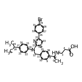 C=C(NCCC(=O)O)c1ccc(CN(c2ccc(C(C)C)cc2)c2nc(-c3ccc(Br)cc3)cs2)cc1